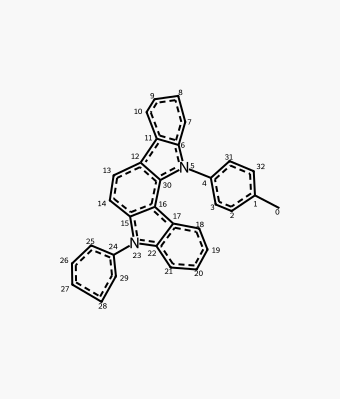 Cc1ccc(-n2c3ccccc3c3ccc4c(c5ccccc5n4-c4ccccc4)c32)cc1